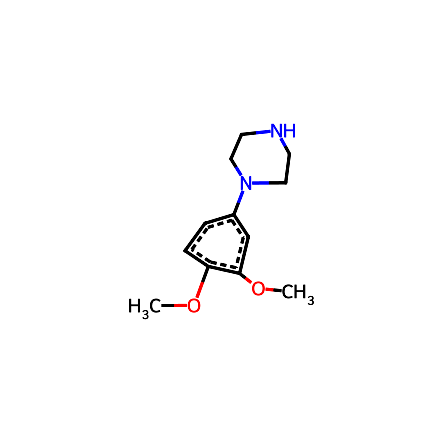 COc1ccc(N2CCNCC2)cc1OC